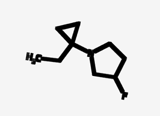 CCC1(N2CCC(F)C2)CC1